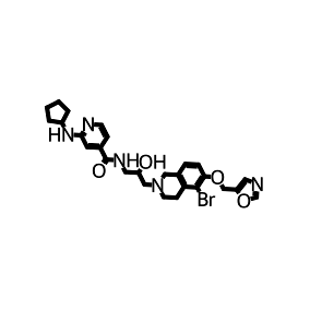 O=C(NCC(O)CN1CCc2c(ccc(OCc3cnco3)c2Br)C1)c1ccnc(NC2CCCC2)c1